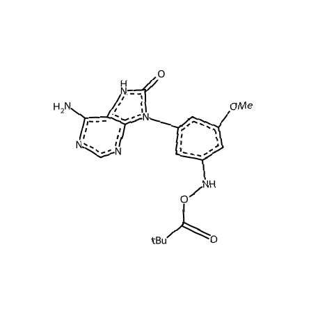 COc1cc(NOC(=O)C(C)(C)C)cc(-n2c(=O)[nH]c3c(N)ncnc32)c1